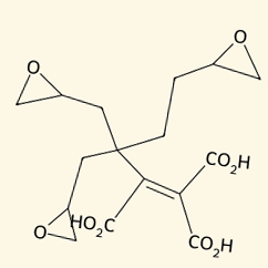 O=C(O)C(C(=O)O)=C(C(=O)O)C(CCC1CO1)(CC1CO1)CC1CO1